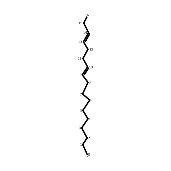 [CH2]CCCCCCCC/C=C/CC/C=C/CC